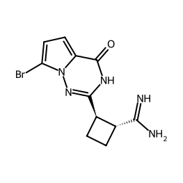 N=C(N)[C@@H]1CC[C@H]1c1nn2c(Br)ccc2c(=O)[nH]1